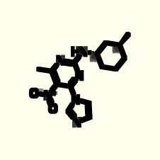 Cc1nc(N[C@H]2CCC[C@H](C)C2)nc(-n2ccnc2)c1[N+](=O)[O-]